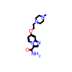 CN1CCN(CCOc2ccn3c(C(N)=O)cnc3c2)CC1